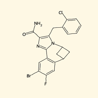 NC(=O)c1nc2n(c1Cc1ccccc1Cl)C1CC(C1)c1cc(F)c(Br)cc1-2